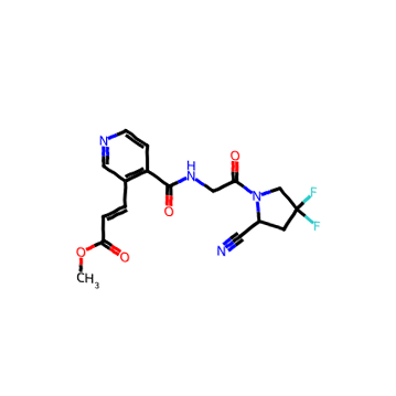 COC(=O)/C=C/c1cnccc1C(=O)NCC(=O)N1CC(F)(F)CC1C#N